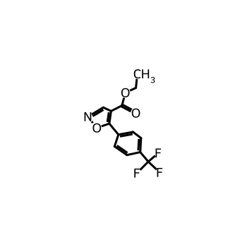 CCOC(=O)c1cnoc1-c1ccc(C(F)(F)F)cc1